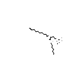 CCCCCCCC/C=C/CCCCCCCC(=O)NC(CCNC(N(C)C)[N+](C)(C)C)C(=O)NCCCCCCCCCCCCCCCC